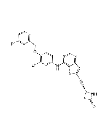 O=C1C[C@@H](C#Cc2cc3ncnc(Nc4ccc(OCc5cccc(F)c5)c(Cl)c4)c3s2)N1